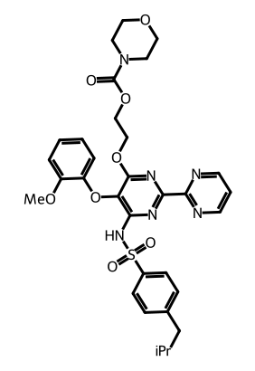 COc1ccccc1Oc1c(NS(=O)(=O)c2ccc(CC(C)C)cc2)nc(-c2ncccn2)nc1OCCOC(=O)N1CCOCC1